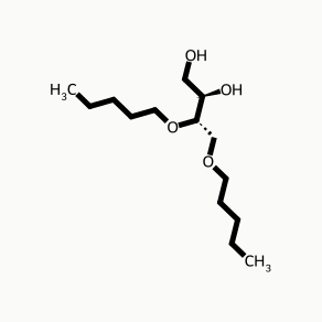 CCCCCOC[C@H](OCCCCC)[C@H](O)CO